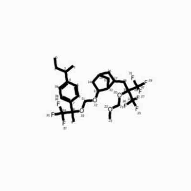 CCC(C)c1ccc(C(C)(OCOC2CC3CC(CC(OCOC)(C(F)(F)F)C(F)(F)F)C2C3)C(F)(F)F)cc1